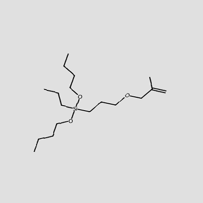 C=C(C)COCCC[Si](CCC)(OCCCC)OCCCC